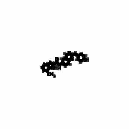 Cc1cccc2cc(C(=O)Nc3ccc4nc(CN5CCNCC5)ncc4c3)[nH]c12